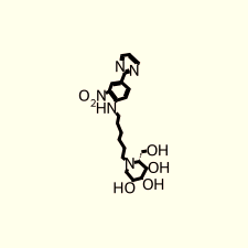 O=[N+]([O-])c1cc(-c2ncccn2)ccc1NCCCCCCN1C[C@H](O)[C@@H](O)[C@H](O)[C@H]1CO